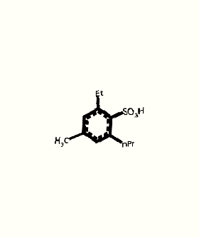 CCCc1cc(C)cc(CC)c1S(=O)(=O)O